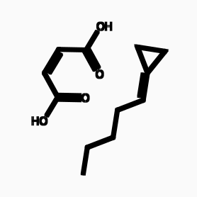 CCCCC=C1CC1.O=C(O)/C=C\C(=O)O